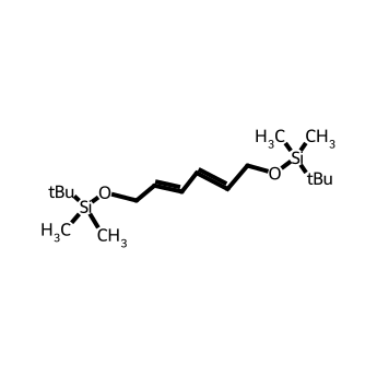 CC(C)(C)[Si](C)(C)OC/C=C/C=C/CO[Si](C)(C)C(C)(C)C